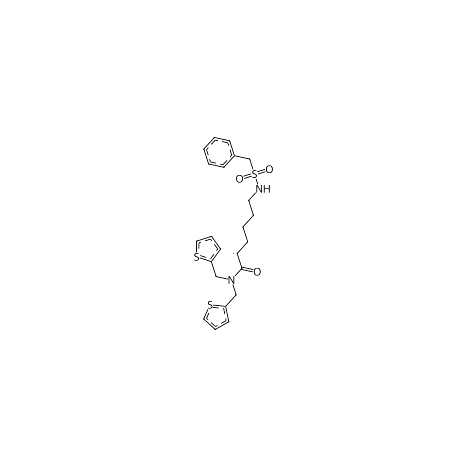 O=C([CH]CCCCNS(=O)(=O)Cc1ccccc1)N(Cc1cccs1)Cc1cccs1